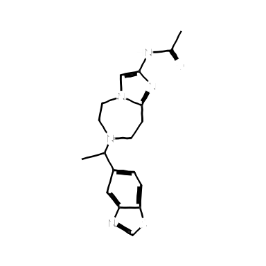 CC(=O)Nc1cn2c(n1)CCN(C(C)c1ccc3scnc3c1)CC2